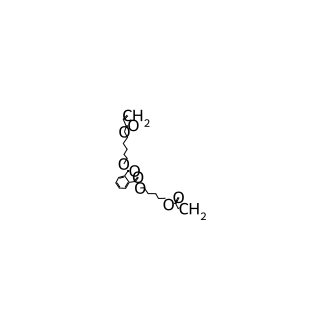 C=CC(=O)OCCCCCOC(=O)c1ccccc1C(=O)OCCCCCOC(=O)C=C